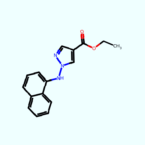 CCOC(=O)c1cnn(Nc2cccc3ccccc23)c1